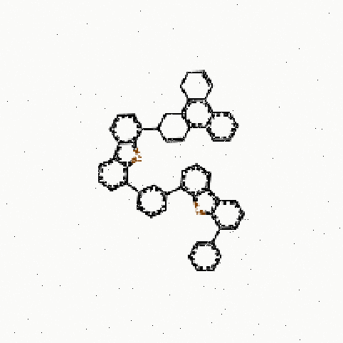 C1=Cc2c(c3c(c4ccccc24)C=CC(c2cccc4c2sc2c(-c5cccc(-c6cccc7c6sc6c(-c8ccccc8)cccc67)c5)cccc24)C3)CC1